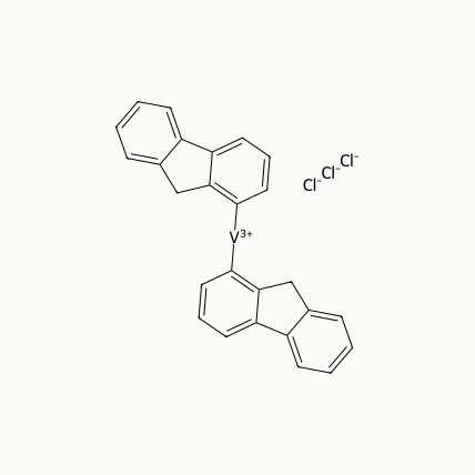 [Cl-].[Cl-].[Cl-].c1ccc2c(c1)Cc1[c]([V+3][c]3cccc4c3Cc3ccccc3-4)cccc1-2